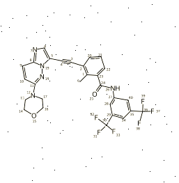 Cc1c(C#Cc2cnc3ccc(N4CCOCC4)nn23)cccc1C(=O)Nc1cc(C(F)(F)F)cc(C(F)(F)F)c1